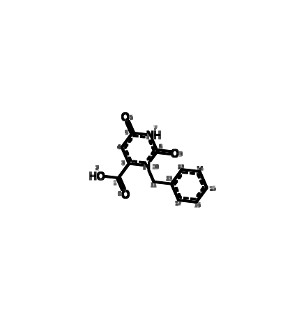 O=C(O)c1cc(=O)[nH]c(=O)n1Cc1ccccc1